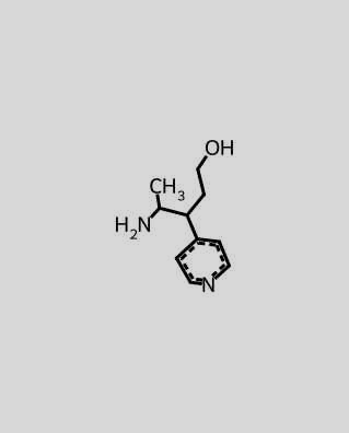 CC(N)C(CCO)c1ccncc1